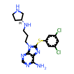 Nc1ncnc2c1nc(Sc1cc(Cl)cc(Cl)c1)n2CCCN[C@@H]1CCNC1